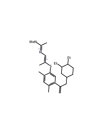 C=C(CC1CCC(CC)C(CC)C1)c1cc(S/C(C)=C/N=C(\C)NC)c(C)cc1C